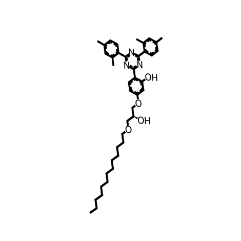 CCCCCCCCCCCCCOC[C@H](O)COc1ccc(-c2nc(-c3ccc(C)cc3C)nc(-c3ccc(C)cc3C)n2)c(O)c1